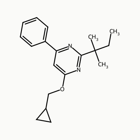 CCC(C)(C)c1nc(OCC2CC2)cc(-c2ccccc2)n1